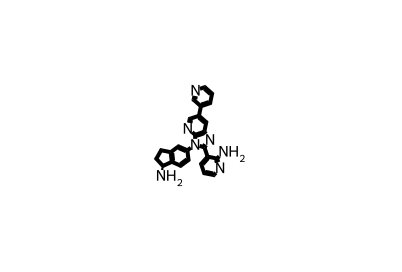 Nc1ncccc1-c1nc2cc(-c3cccnc3)cnc2n1-c1ccc2c(c1)CC[C@@H]2N